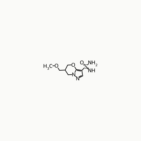 COCC1COc2c(S(=N)(N)=O)cnn2C1